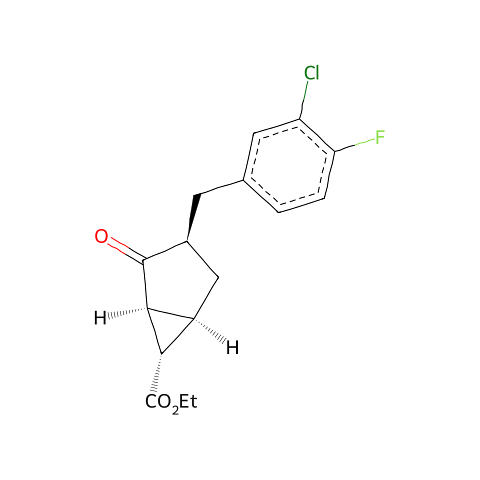 CCOC(=O)[C@H]1[C@@H]2C[C@H](Cc3ccc(F)c(Cl)c3)C(=O)[C@@H]21